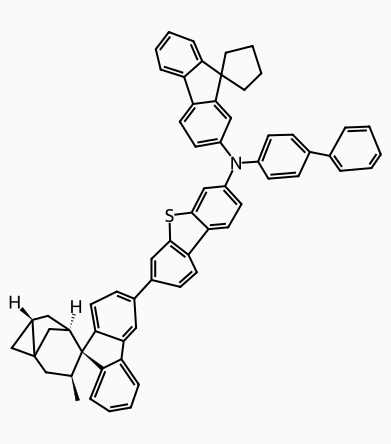 C[C@H]1CC23C[C@@H]2C[C@H](C3)[C@@]12c1ccccc1-c1cc(-c3ccc4c(c3)sc3cc(N(c5ccc(-c6ccccc6)cc5)c5ccc6c(c5)C5(CCCC5)c5ccccc5-6)ccc34)ccc12